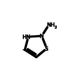 NN1N[C]=CS1